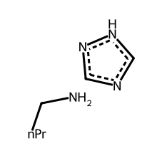 CCCCN.c1nc[nH]n1